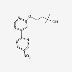 CC(C)(O)CCOc1cc(-c2ccc([N+](=O)[O-])cn2)ccn1